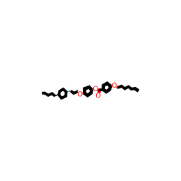 C=CCCCCCOc1ccc(C(=O)Oc2ccc(OCCC[C@H]3CC[C@H](CCCCC)CC3)cc2)cc1